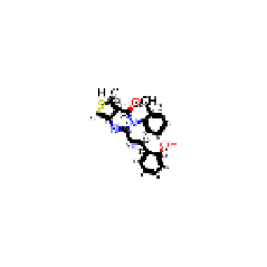 Cc1ccccc1-n1c(/C=C/c2ccccc2O)nc2csc(C)c2c1=O